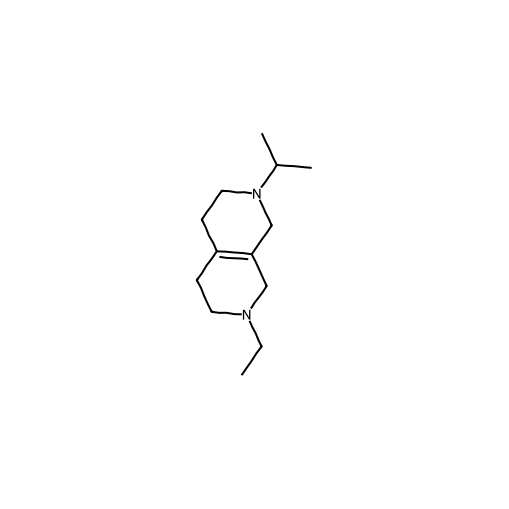 CCN1CCC2=C(C1)CN(C(C)C)CC2